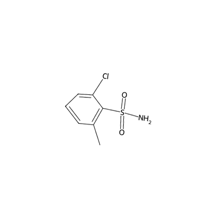 Cc1cccc(Cl)c1S(N)(=O)=O